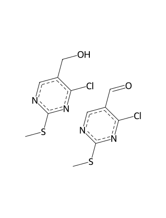 CSc1ncc(C=O)c(Cl)n1.CSc1ncc(CO)c(Cl)n1